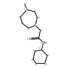 CN1CCCN(CC(=O)NC2CCCCC2)CC1